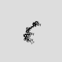 CC(C)N1Cc2c(cccc2C(C(=O)O)N2CC[C@@H](C(F)(F)CCCCc3ccc4c(n3)NCCC4)C2)C1=O